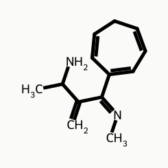 C=C(/C(=N\C)C1=CC=CCC=C1)C(C)N